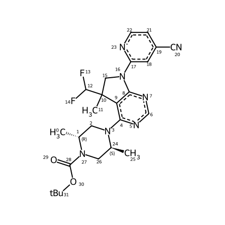 C[C@@H]1CN(c2ncnc3c2C(C)(C(F)F)CN3c2cc(C#N)ccn2)[C@@H](C)CN1C(=O)OC(C)(C)C